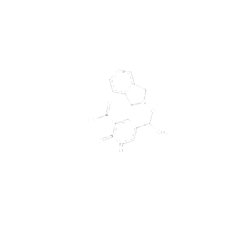 CC(=O)c1cc(C(C)ON2Cc3ccccc3C2)c[nH]c1=O